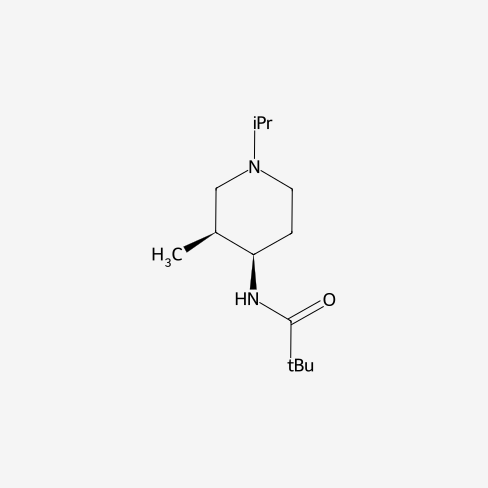 CC(C)N1CC[C@@H](NC(=O)C(C)(C)C)[C@@H](C)C1